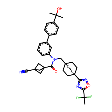 CC(C)(O)c1ccc(-c2cccc(N(CC34CCC(c5noc(C(C)(F)F)n5)(CC3)CC4)C(=O)C34CC(C#N)(C3)C4)c2)cc1